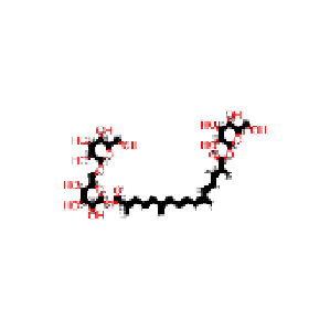 CC(=C/C=C/C=C(C)/C=C/C=C(\C)C(=O)O[C@@H]1OC(CO[C@@H]2OC(CO)[C@@H](O)C(O)C2O)[C@@H](O)C(O)C1O)/C=C/C=C(\C)C(=O)O[C@@H]1OC(CO)[C@@H](O)C(O)C1O